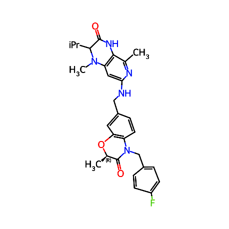 Cc1nc(NCc2ccc3c(c2)O[C@H](C)C(=O)N3Cc2ccc(F)cc2)cc2c1NC(=O)C(C(C)C)N2C